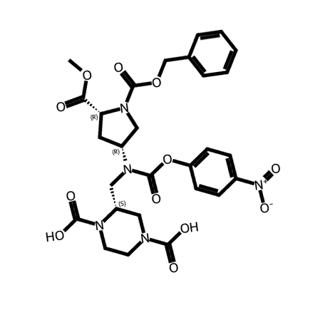 COC(=O)[C@H]1C[C@@H](N(C[C@@H]2CN(C(=O)O)CCN2C(=O)O)C(=O)Oc2ccc([N+](=O)[O-])cc2)CN1C(=O)OCc1ccccc1